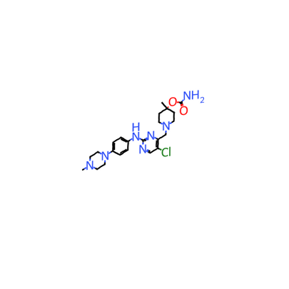 CN1CCN(c2ccc(Nc3ncc(Cl)c(CN4CCC(C)(OC(N)=O)CC4)n3)cc2)CC1